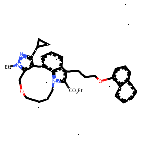 CCOC(=O)c1c(CCCOc2cccc3ccccc23)c2cccc3c2n1CCCCOCc1c-3c(C2CC2)nn1CC